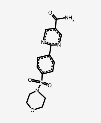 NC(=O)c1cnc(-c2ccc(S(=O)(=O)N3CCOCC3)cc2)nc1